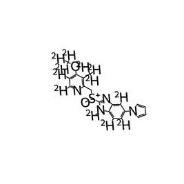 [2H]c1nc(C[S+]([O-])c2nc3c([2H])c(-n4cccc4)c([2H])c([2H])c3n2[2H])c(C([2H])([2H])[2H])c(OC([2H])([2H])[2H])c1[2H]